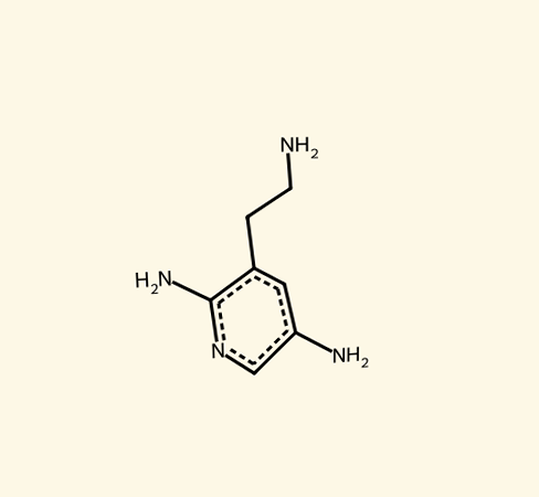 NCCc1cc(N)cnc1N